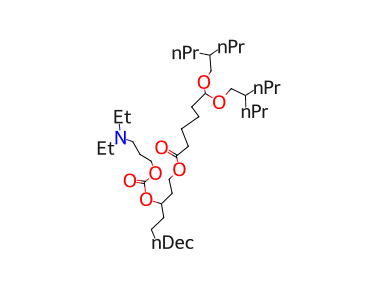 CCCCCCCCCCCCC(CCOC(=O)CCCCC(OCC(CCC)CCC)OCC(CCC)CCC)OC(=O)OCCCN(CC)CC